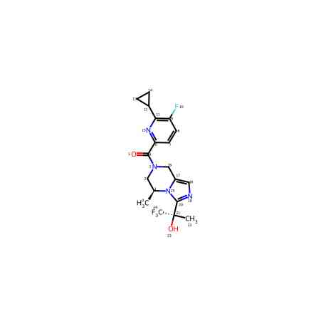 C[C@H]1CN(C(=O)c2ccc(F)c(C3CC3)n2)Cc2cnc([C@@](C)(O)C(F)(F)F)n21